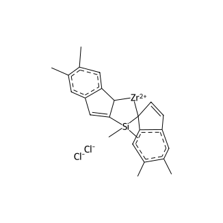 Cc1cc2c(cc1C)[CH]1[Zr+2][C]3(C=Cc4cc(C)c(C)cc43)[Si](C)(C)C1=C2.[Cl-].[Cl-]